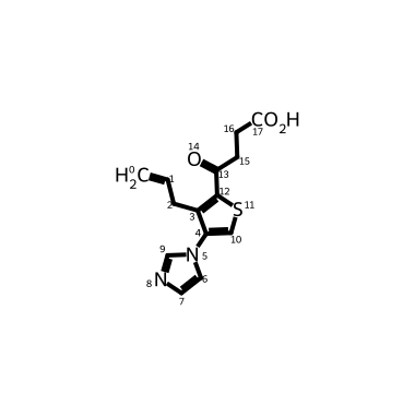 C=CCc1c(-n2ccnc2)csc1C(=O)CCC(=O)O